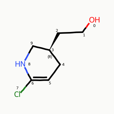 OCC[C@H]1CC=C(Cl)NC1